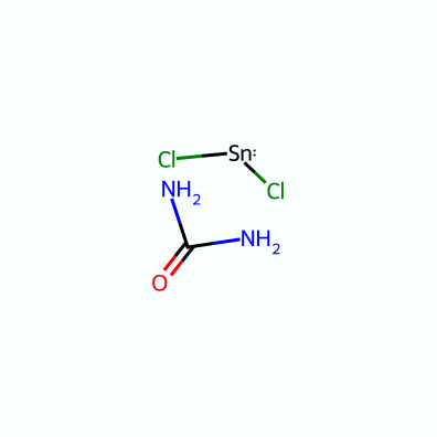 NC(N)=O.[Cl][Sn][Cl]